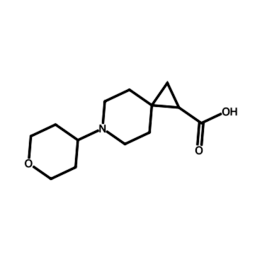 O=C(O)C1CC12CCN(C1CCOCC1)CC2